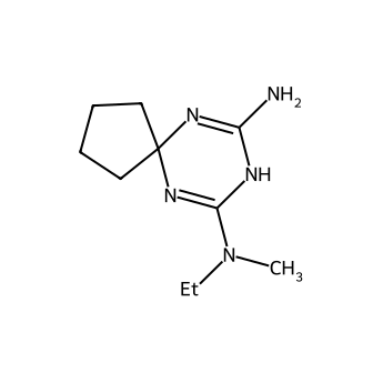 CCN(C)C1=NC2(CCCC2)N=C(N)N1